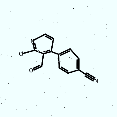 N#Cc1ccc(-c2ccnc(Cl)c2C=O)cc1